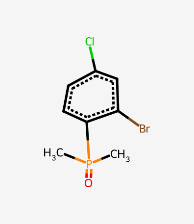 CP(C)(=O)c1ccc(Cl)cc1Br